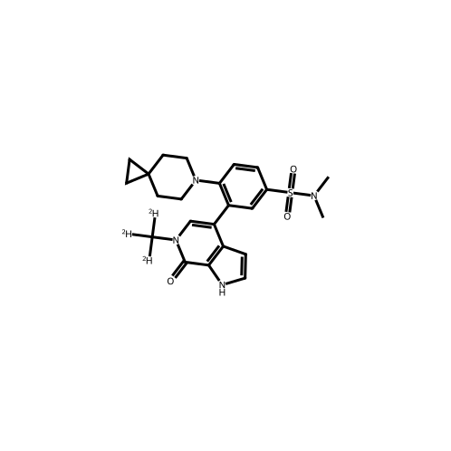 [2H]C([2H])([2H])n1cc(-c2cc(S(=O)(=O)N(C)C)ccc2N2CCC3(CC2)CC3)c2cc[nH]c2c1=O